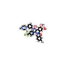 COc1cc2c(cc1OC)[C@@H](C(=O)Nc1cccc(N3CCN(C)CC3)c1)[C@H](c1ccc(C(F)(F)F)cc1)N(Cc1ccc(C)cc1)C2=O